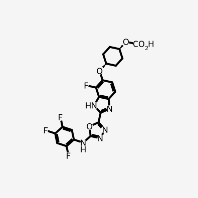 O=C(O)O[C@H]1CC[C@@H](Oc2ccc3nc(-c4nnc(Nc5cc(F)c(F)cc5F)o4)[nH]c3c2F)CC1